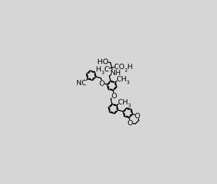 Cc1cc(OCc2cccc(-c3ccc4c(c3)OCCO4)c2C)cc(OCc2cccc(C#N)c2)c1CN[C@](C)(CO)C(=O)O